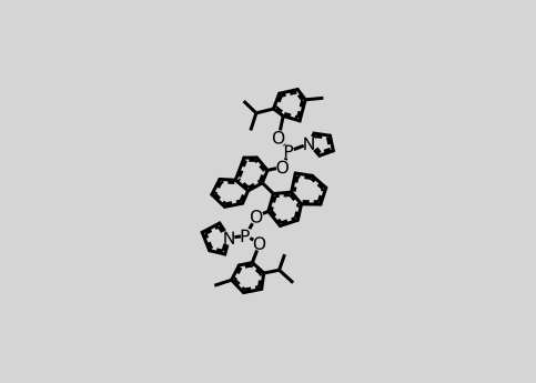 Cc1ccc(C(C)C)c(OP(Oc2ccc3ccccc3c2-c2c(OP(Oc3cc(C)ccc3C(C)C)n3cccc3)ccc3ccccc23)n2cccc2)c1